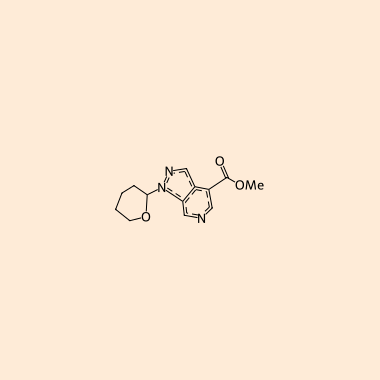 COC(=O)c1cncc2c1cnn2C1CCCCO1